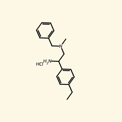 CCc1ccc(C(N)CN(C)Cc2ccccc2)cc1.Cl